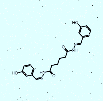 O=C(CCCCC(=O)N/N=C/c1cccc(O)c1)N/N=C\c1cccc(O)c1